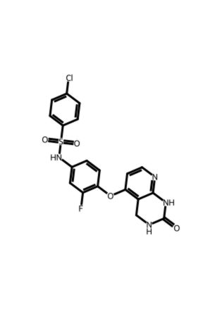 O=C1NCc2c(Oc3ccc(NS(=O)(=O)c4ccc(Cl)cc4)cc3F)ccnc2N1